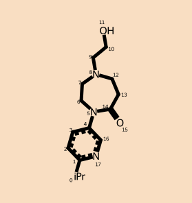 CC(C)c1ccc(N2CCN(CCO)CCC2=O)cn1